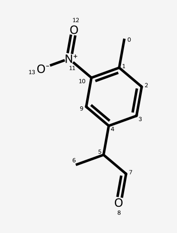 Cc1ccc(C(C)C=O)cc1[N+](=O)[O-]